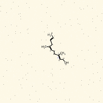 CC=CCC(C)=CCC/C(C)=C/CO